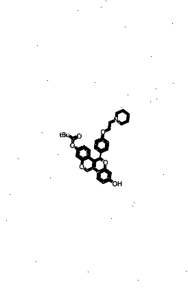 CC(C)(C)C(=O)Oc1ccc2c(c1)OCC1=C2[C@@H](c2ccc(OCCN3CCCCC3)cc2)Oc2cc(O)ccc21